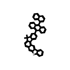 CC1(C)c2cc(-c3c4ccccc4c(-c4cccc5ccccc45)c4ccccc34)ccc2-c2c1ccc1cc3sc4ccccc4c3cc21